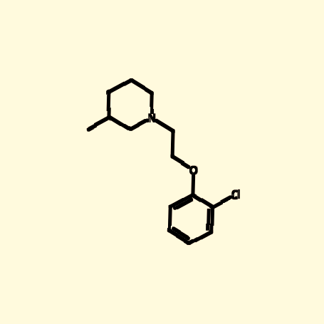 CC1CCCN(CCOc2ccccc2Cl)C1